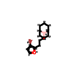 Brc1ccoc1CCCB1C2CCCC1CCC2